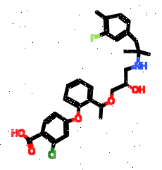 Cc1ccc(CC(C)(C)NC[C@H](O)COC(C)c2ccccc2Oc2ccc(C(=O)O)c(Cl)c2)cc1F